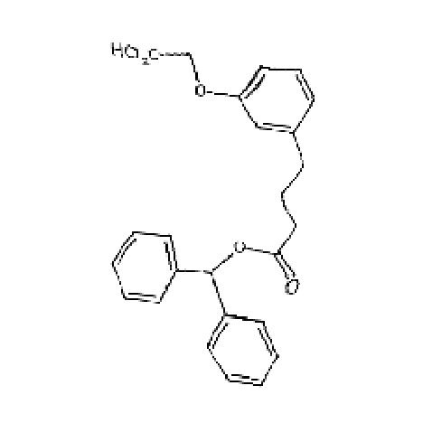 O=C(O)COc1cccc(CCCC(=O)OC(c2ccccc2)c2ccccc2)c1